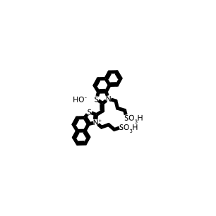 O=S(=O)(O)CCCN1C(=Cc2sc3ccc4ccccc4c3[n+]2CCCS(=O)(=O)O)Sc2ccc3ccccc3c21.[OH-]